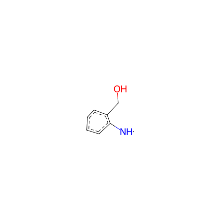 [NH]c1ccccc1CO